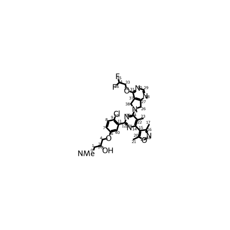 CNC[C@@H](O)COc1ccc(Cl)c(-c2nc(-c3c(C)noc3C)c(C)c(N3Cc4ncnc(OCC(F)F)c4C3)n2)c1